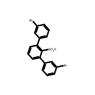 CC(C)c1cccc(-c2cccc(-c3cccc(C(C)C)c3)c2S(=O)(=O)O)c1